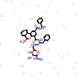 CCNC(=O)[C@@H](NC(=O)[C@H](C)NC[C@H](Cc1ccccc1)NC(=O)c1cc(C(=O)N[C@H](C)c2ccccc2)cc(-c2ccccc2C(N)=O)c1)C(C)C